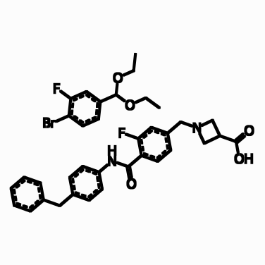 CCOC(OCC)c1ccc(Br)c(F)c1.O=C(Nc1ccc(Cc2ccccc2)cc1)c1ccc(CN2CC(C(=O)O)C2)cc1F